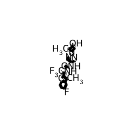 Cc1c([C@@H](NC(=O)Nc2cnc(N3C[C@H](O)[C@H]3C)nc2)C(F)(F)F)oc2ccc(F)cc12